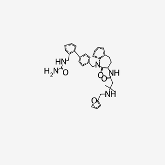 CC(C)(CC(=O)N[C@@H]1CCc2ccccc2N(Cc2ccc(-c3ccccc3CNC(N)=O)cc2)C1=O)NCc1ccco1